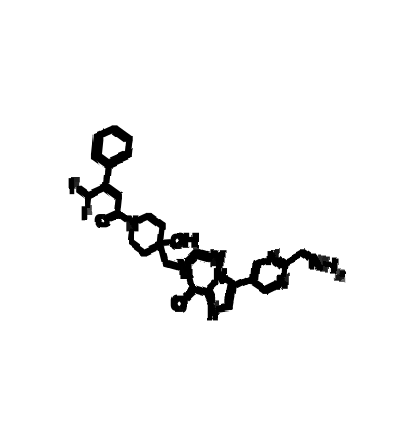 NCc1ncc(-c2cnc3c(=O)n(CC4(O)CCN(C(=O)CC(c5ccccc5)C(F)F)CC4)cnn23)cn1